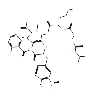 CCCC[C@H](NC(=O)[C@H](C)NC(=O)[C@@H](N)C(C)C)C(=O)N[C@@H](CO)C(=O)N[C@@H](Cc1ccc(O)c([N+](=O)[O-])c1)C(=O)N(C(=O)c1ccccc1N)C(=O)[C@@H](N)CC(=O)O